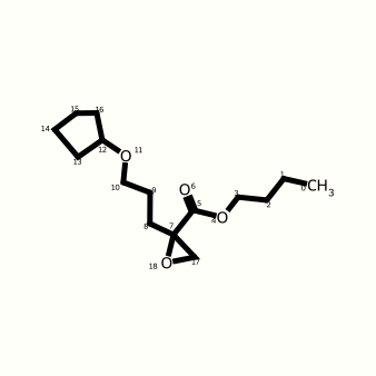 CCCCOC(=O)C1(CCCOC2CCCC2)CO1